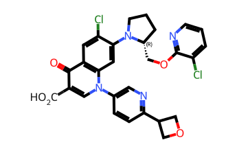 O=C(O)c1cn(-c2ccc(C3COC3)nc2)c2cc(N3CCC[C@@H]3COc3ncccc3Cl)c(Cl)cc2c1=O